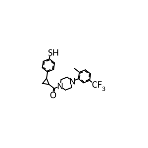 Cc1ccc(C(F)(F)F)cc1N1CCN(C(=O)C2CC2c2ccc(S)cc2)CC1